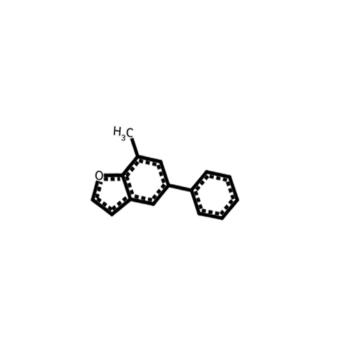 Cc1cc(-c2ccccc2)cc2ccoc12